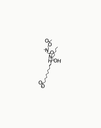 CCCCCC(NC(=O)CN(C)CCOC(C)=O)C(O)C/C=C/CCCCCCCC(=O)OC